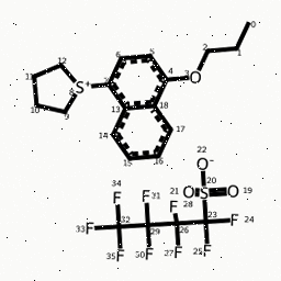 CCCOc1ccc([S+]2CCCC2)c2ccccc12.O=S(=O)([O-])C(F)(F)C(F)(F)C(F)(F)C(F)(F)F